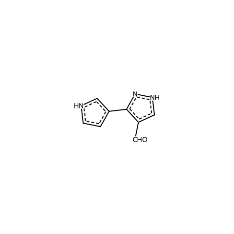 O=Cc1c[nH]nc1-c1cc[nH]c1